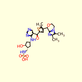 Cc1nc2n(c1C)CCOC2c1cc(C(=O)c2cncnc2N[C@@H]2C[C@H](CNS(=O)(=O)O)[C@@H](O)C2)sc1C